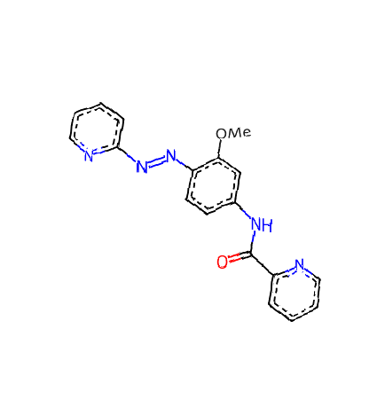 COc1cc(NC(=O)c2ccccn2)ccc1/N=N/c1ccccn1